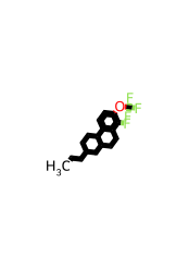 CCCC1CCC2c3ccc(OC(F)(F)F)c(F)c3CCC2C1